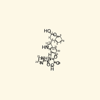 O=C(O)CC(c1ccccc1)c1c[nH]c2cc(OC(NC(=O)c3ncc[nH]3)C(=O)O)ccc12